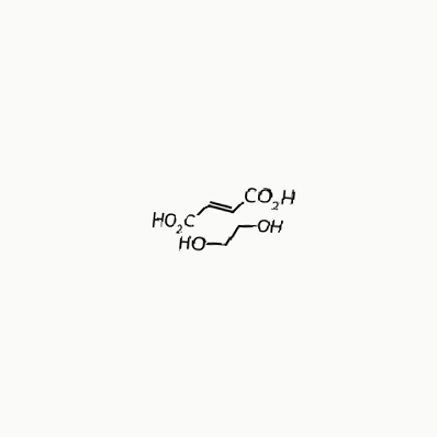 O=C(O)/C=C/C(=O)O.OCCO